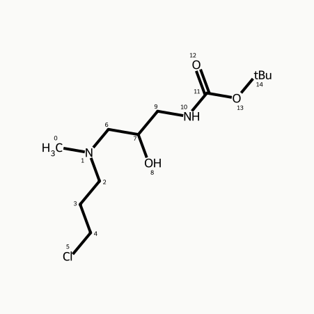 CN(CCCCl)CC(O)CNC(=O)OC(C)(C)C